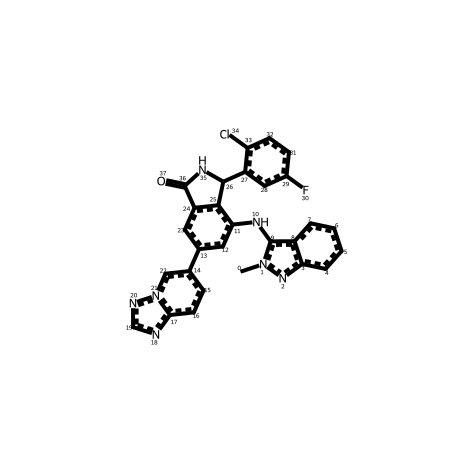 Cn1nc2ccccc2c1Nc1cc(-c2ccc3ncnn3c2)cc2c1C(c1cc(F)ccc1Cl)NC2=O